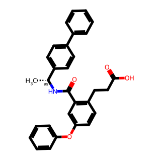 C[C@@H](NC(=O)c1cc(Oc2ccccc2)ccc1CCC(=O)O)c1ccc(-c2ccccc2)cc1